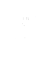 O=C/C=c1/[nH]n(-c2ccccc2Cl)c(=O)/c1=C\c1cccc(Cl)c1F